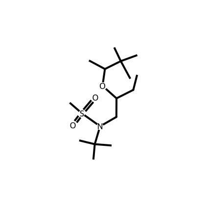 CCC(CN(C(C)(C)C)S(C)(=O)=O)OC(C)C(C)(C)C